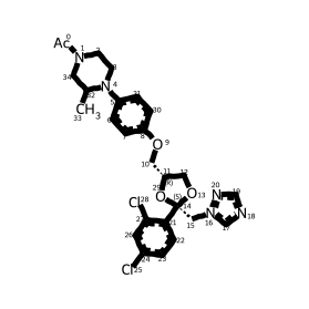 CC(=O)N1CCN(c2ccc(OC[C@@H]3CO[C@@](Cn4cncn4)(c4ccc(Cl)cc4Cl)O3)cc2)C(C)C1